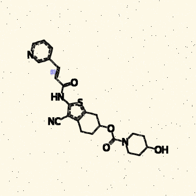 N#Cc1c(NC(=O)/C=C/c2cccnc2)sc2c1CCC(OC(=O)N1CCC(O)CC1)C2